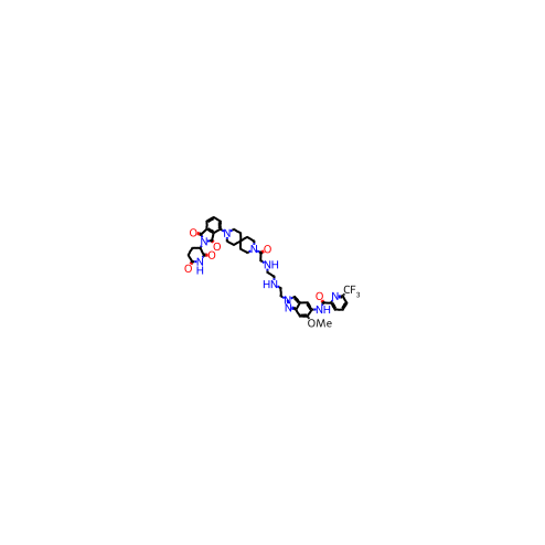 COc1cc2nn(CCNCCNCC(=O)N3CCC4(CC3)CCN(c3cccc5c3C(=O)N(C3CCC(=O)NC3=O)C5=O)CC4)cc2cc1NC(=O)c1cccc(C(F)(F)F)n1